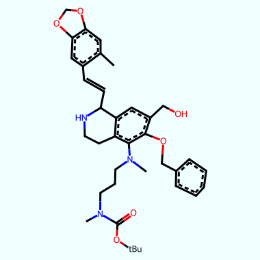 Cc1cc2c(cc1/C=C/C1NCCc3c1cc(CO)c(OCc1ccccc1)c3N(C)CCCN(C)C(=O)OC(C)(C)C)OCO2